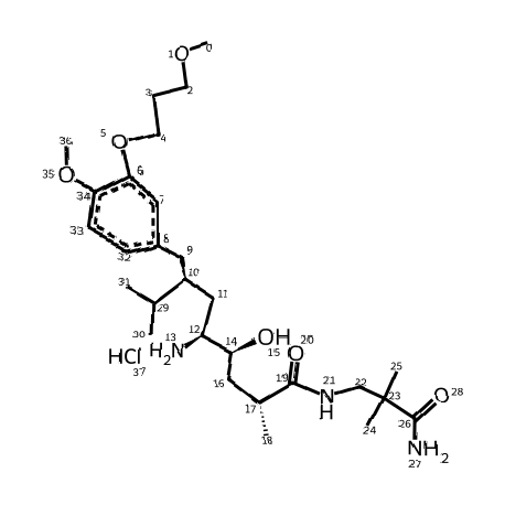 COCCCOc1cc(C[C@@H](C[C@H](N)[C@@H](O)C[C@@H](C)C(=O)NCC(C)(C)C(N)=O)C(C)C)ccc1OC.Cl